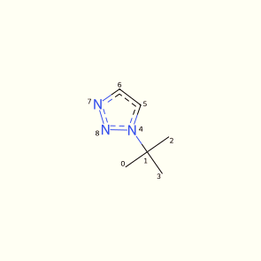 CC(C)(C)n1ccnn1